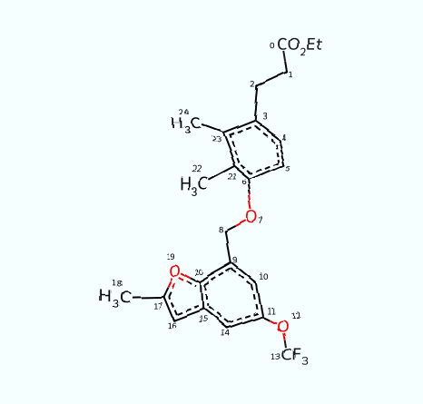 CCOC(=O)CCc1ccc(OCc2cc(OC(F)(F)F)cc3cc(C)oc23)c(C)c1C